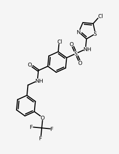 O=C(NCc1cccc(OC(F)(F)F)c1)c1ccc(S(=O)(=O)Nc2ncc(Cl)s2)c(Cl)c1